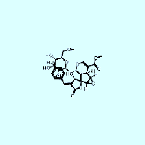 COC(=O)C1=CO[C@@H](O[C@@H]2O[C@H](CO)[C@@H](O)[C@H](O)[C@H]2O)[C@H]2[C@@H]1[C@@H]1O[C@@H]1[C@@]21OC(=O)/C(=C/c2ccc(O)cc2)[C@H]1O